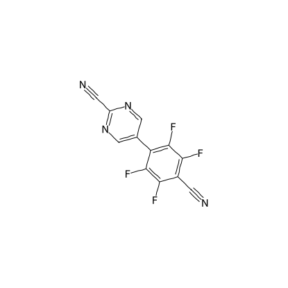 N#Cc1ncc(-c2c(F)c(F)c(C#N)c(F)c2F)cn1